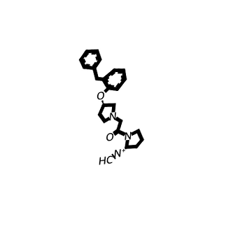 C#[N+][C@@H]1CCCN1C(=O)CN1CC[C@H](Oc2ccccc2Cc2ccccc2)C1